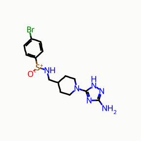 Nc1n[nH]c(N2CCC(CN[S+]([O-])c3ccc(Br)cc3)CC2)n1